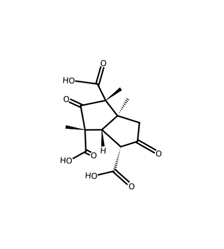 C[C@@]1(C(=O)O)C(=O)[C@](C)(C(=O)O)[C@@]2(C)CC(=O)[C@H](C(=O)O)[C@H]12